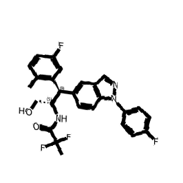 Cc1ccc(F)cc1[C@@H](c1ccc2c(cnn2-c2ccc(F)cc2)c1)[C@@H](CO)NC(=O)C(C)(F)F